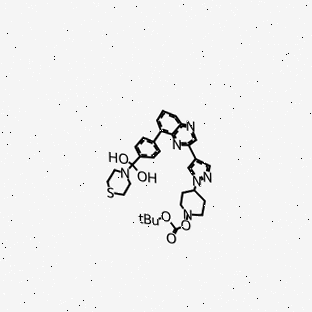 CC(C)(C)OC(=O)ON1CCC(n2cc(-c3cnc4cccc(-c5ccc(C(O)(O)N6CCSCC6)cc5)c4n3)cn2)CC1